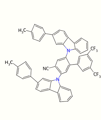 Cc1ccc(-c2ccc3c4ccccc4n(-c4cc(-c5cc(C(F)(F)F)cc(C(F)(F)F)c5)c(-n5c6ccccc6c6ccc(-c7ccc(C)cc7)cc65)cc4C#N)c3c2)cc1